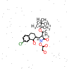 C[C@@H](O[Si](C)(C)C(C)(C)C)[C@H]1C(=O)N(OC(=O)C=O)[C@@H]1[C@@H]1CCc2ccc(Cl)cc2C1=O